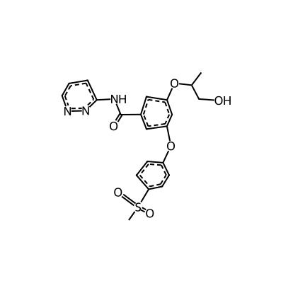 CC(CO)Oc1cc(Oc2ccc(S(C)(=O)=O)cc2)cc(C(=O)Nc2cccnn2)c1